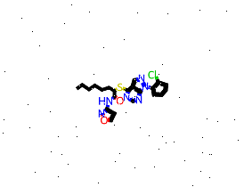 CCCCCCC(Sc1ncnc2c1cnn2-c1ccccc1Cl)C(=O)Nc1ccon1